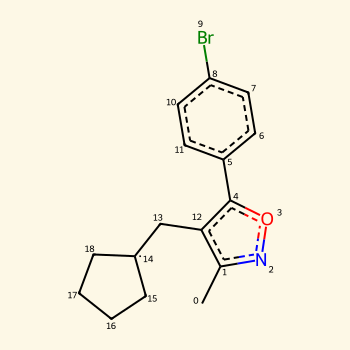 Cc1noc(-c2ccc(Br)cc2)c1C[C]1CCCC1